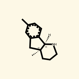 Cc1ccc2c(c1)C[C@]1(C)CCCN[C@H]21